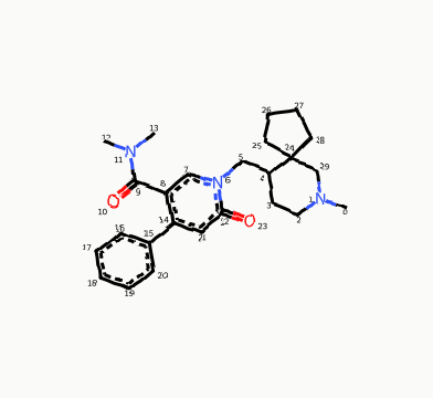 CN1CCC(Cn2cc(C(=O)N(C)C)c(-c3ccccc3)cc2=O)C2(CCCC2)C1